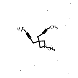 CC#CCC1(CC#CC)CN(C)C1